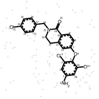 Nc1cc(Cl)c(Oc2ccc3c(c2)CCN(Cc2ccc(Cl)cc2)C3=O)c(Cl)c1